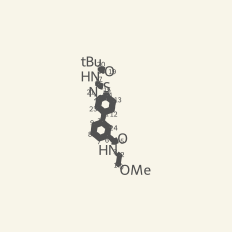 COCCNC(=O)c1cccc(-c2ccc3sc(NC(=O)C(C)(C)C)nc3c2)c1